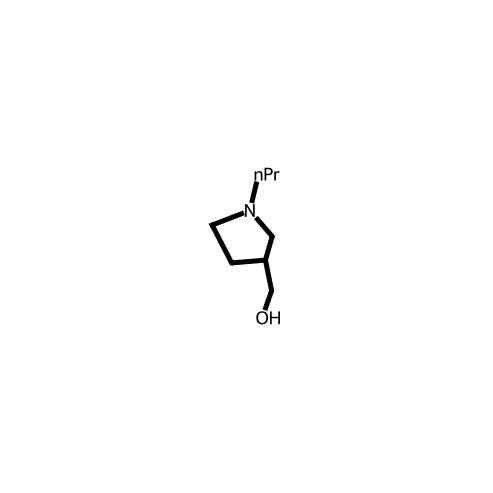 CCCN1CCC(CO)C1